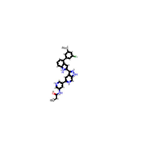 COc1cc(F)cc(-c2cccc3[nH]c(-c4n[nH]c5cnc(-c6cncc(NC(=O)CC(C)(C)C)c6)cc45)cc23)c1